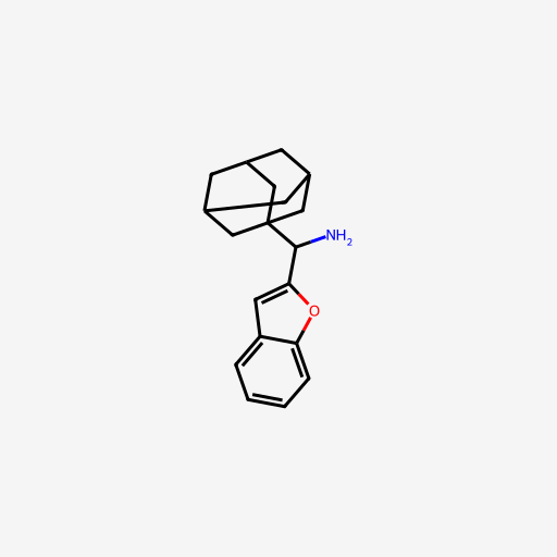 NC(c1cc2ccccc2o1)C12CC3CC(CC(C3)C1)C2